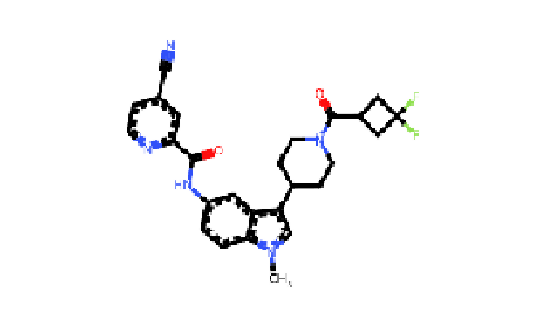 Cn1cc(C2CCN(C(=O)C3CC(F)(F)C3)CC2)c2cc(NC(=O)c3cc(C#N)ccn3)ccc21